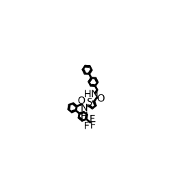 O=C(NCc1ccc(-c2ccccc2)cc1)c1ccc(NC(=O)c2ccccc2-c2ccc(C(F)(F)F)cc2)s1